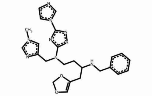 Cn1cnc(CN(CCC(CC2=COCO2)NCc2ccccc2)c2nc(-n3ccnc3)ns2)c1